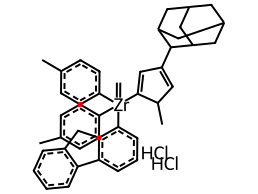 Cl.Cl.[CH2]=[Zr]([C]1=CC(C2C3CC4CC(C3)CC2C4)=CC1C)([c]1ccc(C)cc1)([c]1ccc(C)cc1)[c]1cccc2c1Cc1ccccc1-2